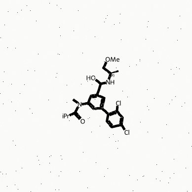 COC[C@@H](C)NC(O)c1cc(-c2ccc(Cl)cc2Cl)cc(N(C)C(=O)C(C)C)c1